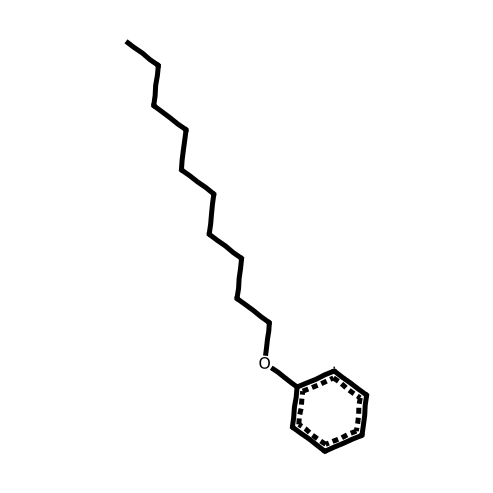 CCCCCCCCCCOc1[c]cccc1